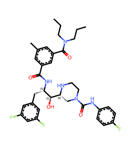 CCCN(CCC)C(=O)c1cc(C)cc(C(=O)N[C@@H](Cc2cc(F)cc(F)c2)[C@H](O)[C@H]2CN(C(=O)Nc3ccc(F)cc3)CCN2)c1